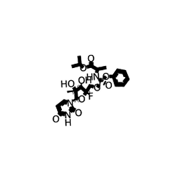 CC(C)OC(=O)C(C)NP(=O)(OC[C@@]1(F)O[C@@H](n2ccc(=O)[nH]c2=O)[C@](C)(O)[C@@H]1O)Oc1ccccc1